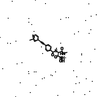 CNC(=O)C(C(=O)NO)N(C)C(=O)c1ccc(C#Cc2ccnc(C)c2)cc1